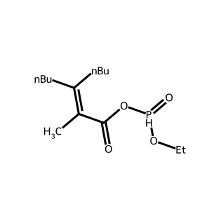 CCCCC(CCCC)=C(C)C(=O)O[PH](=O)OCC